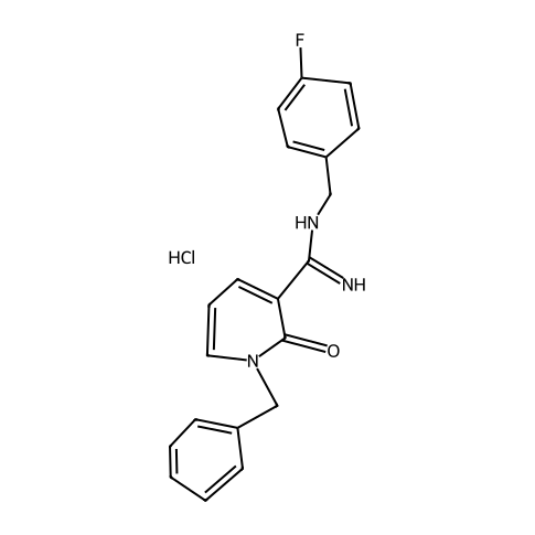 Cl.N=C(NCc1ccc(F)cc1)c1cccn(Cc2ccccc2)c1=O